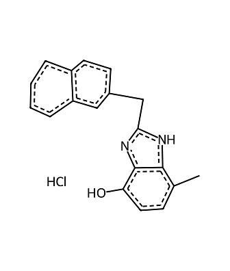 Cc1ccc(O)c2nc(Cc3ccc4ccccc4c3)[nH]c12.Cl